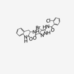 O=C(Nc1[nH]nc(C(=O)NC2Cc3ccccc3NC2=O)c1Br)c1ccccc1Cl